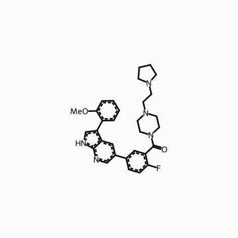 COc1ccccc1-c1c[nH]c2ncc(-c3ccc(F)c(C(=O)N4CCN(CCN5CCCC5)CC4)c3)cc12